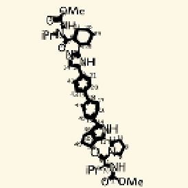 COC(=O)N[C@H](C(=O)N1CCC[C@H]1c1[nH]c(-c2ccc(-c3ccc(-c4cnc([C@@H]5CCCC[C@@H]5C(=O)N(NC(=O)OC)C(C)C)[nH]4)cc3)cc2)c2c1CCC2)C(C)C